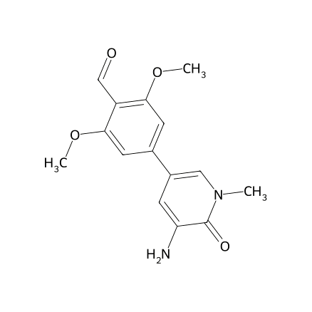 COc1cc(-c2cc(N)c(=O)n(C)c2)cc(OC)c1C=O